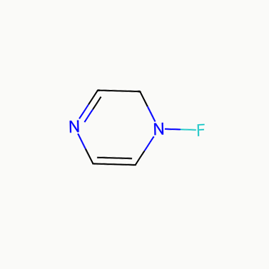 FN1C=CN=CC1